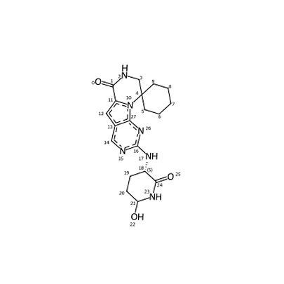 O=C1NCC2(CCCCC2)n2c1cc1cnc(N[C@H]3CCC(O)NC3=O)nc12